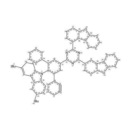 CC(C)(C)C1=Cc2c(n(-c3c(-c4c#cccc4)cc(-c4nc(-c5ccc6oc7ccccc7c6c5)nc(-c5cccc6oc7ccccc7c56)n4)cc3-c3ccccc3)c3ccc(C(C)(C)C)cc23)CC1